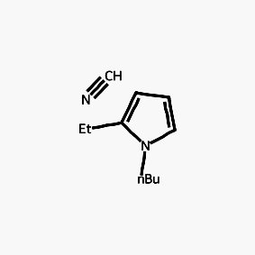 C#N.CCCCn1cccc1CC